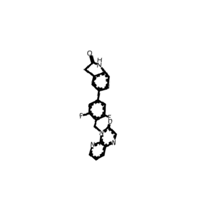 O=C1Cc2cc(-c3cc(F)c(Cn4c(=O)cnc5cccnc54)c(F)c3)ccc2N1